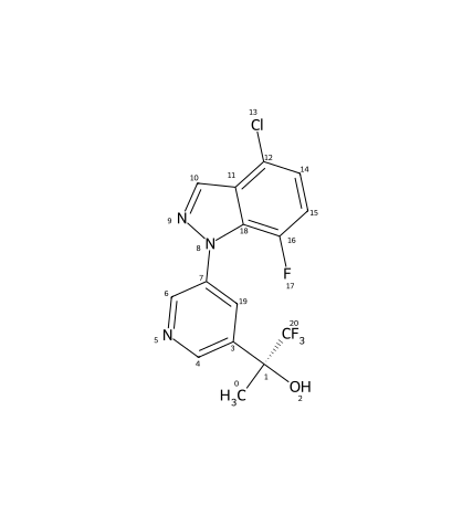 C[C@](O)(c1cncc(-n2ncc3c(Cl)ccc(F)c32)c1)C(F)(F)F